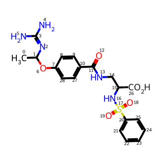 CC(N=C(N)N)Oc1ccc(C(=O)NCC(NS(=O)(=O)c2ccccc2)C(=O)O)cc1